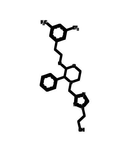 OCCn1cnc(CN2CCOC(OCCc3cc(C(F)(F)F)cc(C(F)(F)F)c3)C2c2ccccc2)n1